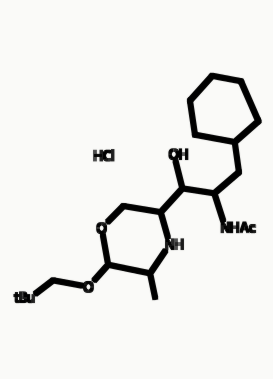 CC(=O)NC(CC1CCCCC1)C(O)C1COC(OCC(C)(C)C)C(C)N1.Cl